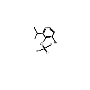 C[C](C)c1cccc(Br)c1OC(F)(F)F